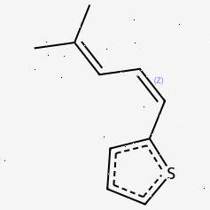 CC(C)=C/C=C\c1cccs1